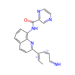 C/C=C(\C=C/C=N)c1ccc2cccc(NC(=O)c3cnccn3)c2n1